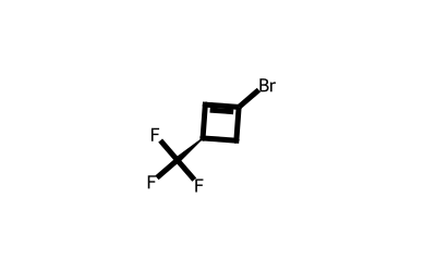 FC(F)(F)[C@H]1C=C(Br)C1